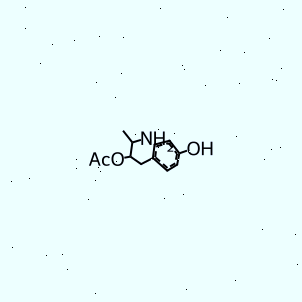 CC(=O)OC(Cc1ccc(O)cc1)C(C)N